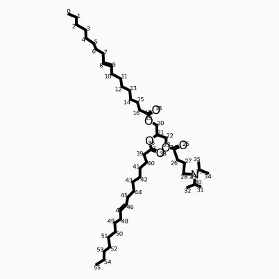 CCCCCCCCC=CCCCCCCCC(=O)OCC(COC(=O)CCCN(C(C)C)C(C)C)OC(=O)CCCCCCCC=CCCCCCCCC